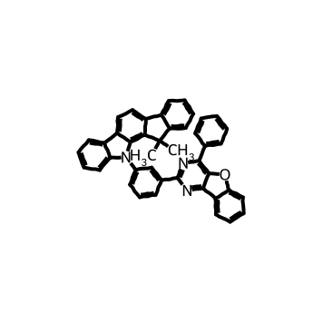 CC1(C)c2ccccc2-c2ccc3c4ccccc4n(-c4cccc(-c5nc(-c6ccccc6)c6oc7ccccc7c6n5)c4)c3c21